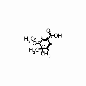 COC1C=C(C(=O)O)C=CC1(C)C